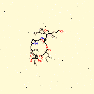 C/C(CCCO)=C1/COC(CC(C)C)/C1=C\[C@@H]1N=C2O[C@H]1COC(=O)[C@@H](CC(C)C)CC(=O)O[C@H]1[C@@H](OC(=O)[C@]1(C)CO)/C(C)=C/Cc1ccc2[nH]1